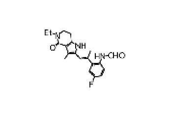 CCN1CCc2[nH]c(/C=C(\C)c3cc(F)ccc3NC=O)c(C)c2C1=O